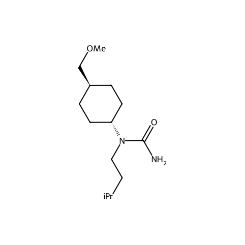 COC[C@H]1CC[C@H](N(CCC(C)C)C(N)=O)CC1